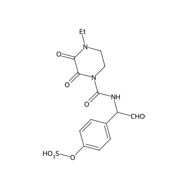 CCN1CCN(C(=O)NC([C]=O)c2ccc(OS(=O)(=O)O)cc2)C(=O)C1=O